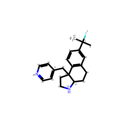 CC(F)(c1ccc2c(c1)CCC1NCCC21Cc1ccncc1)C(F)(F)F